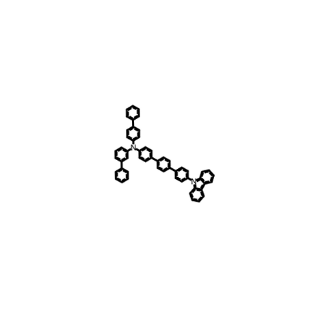 c1ccc(-c2ccc(N(c3ccc(-c4ccc(-c5ccc(-n6c7ccccc7c7ccccc76)cc5)cc4)cc3)c3cccc(-c4ccccc4)c3)cc2)cc1